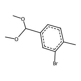 COC(OC)c1ccc(C)c(Br)c1